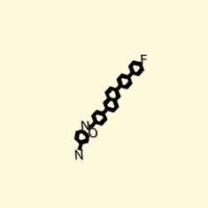 N#Cc1ccc2nc(-c3ccc(-c4ccc5cc(-c6ccc(-c7ccc(F)cc7)cc6)ccc5c4)cc3)oc2c1